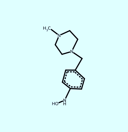 CN1CCN(Cc2ccc(NO)cc2)CC1